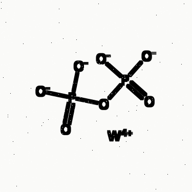 O=P([O-])([O-])OP(=O)([O-])[O-].[W+4]